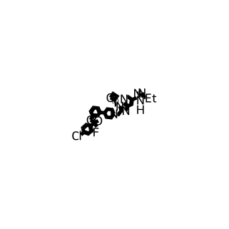 CCc1nnc(-c2cnc3c(c2)nc(CN2CCC(c4cccc5c4OC(C)(c4ccc(Cl)cc4F)O5)CC2)n3C[C@@H]2CCO2)[nH]1